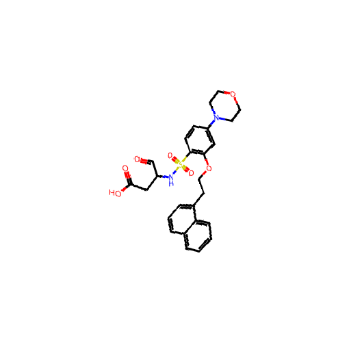 O=CC(CC(=O)O)NS(=O)(=O)c1ccc(N2CCOCC2)cc1OCCc1cccc2ccccc12